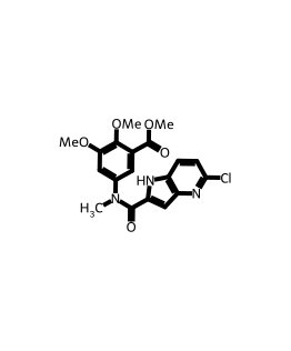 COC(=O)c1cc(N(C)C(=O)c2cc3nc(Cl)ccc3[nH]2)cc(OC)c1OC